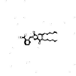 CCCCCCCCN1C(=O)N(Cc2ccccc2C(=O)O)CC1C(=O)NCCCCCC